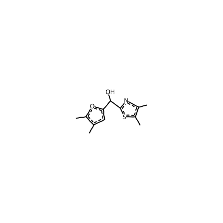 Cc1cc(C(O)c2nc(C)c(C)s2)oc1C